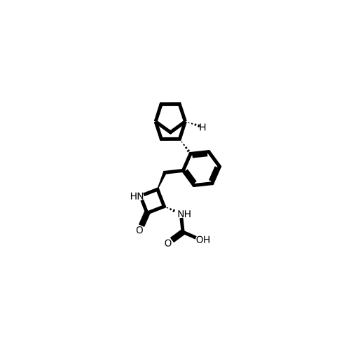 O=C(O)N[C@@H]1C(=O)N[C@H]1Cc1ccccc1[C@@H]1CC2CC[C@@H]1C2